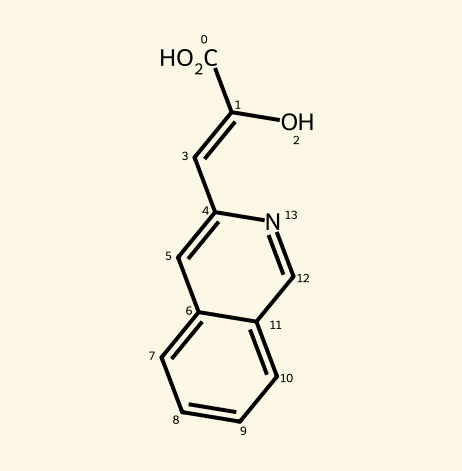 O=C(O)/C(O)=C/c1cc2ccccc2cn1